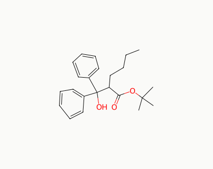 CCCCC(C(=O)OC(C)(C)C)C(O)(c1ccccc1)c1ccccc1